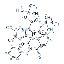 CC(C)(C)OC(=O)NN(C(=O)OC(C)(C)C)[C@]1(c2ccc(Cl)c(Cl)c2)C(=O)N(Cc2ccccc2)C(=O)c2ccccc21